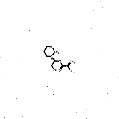 C=C(C)C(=O)OC(CC)[SiH]1CCCO[SiH2]1